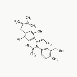 C=C(Cc1cc(O)c(/C(=C/C)N(C(=C)S)c2ccc(C)c(C[C@@H](C)CC)c2)cc1C(C)C)N(C)C